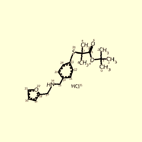 CC(C)(C)OC(=O)C(C)(C)Sc1ccc(CNCc2ccco2)cc1.Cl